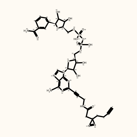 C#CCCC1(CC(=O)NCC#Cc2nc(N)c3ncn([C@H]4O[C@@H](COP(=O)(O)OP(=O)(O)OC[C@H]5O[C@@H](c6cccc(C(N)=O)c6)C(O)C5O)C(O)C4O)c3n2)N=N1